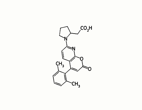 Cc1cccc(C)c1-c1cc(=O)oc2nc(N3CCCC3CC(=O)O)ccc12